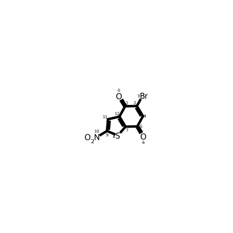 O=C1C(Br)=CC(=O)c2sc([N+](=O)[O-])cc21